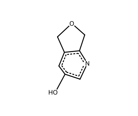 Oc1cnc2c(c1)COC2